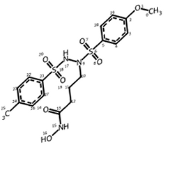 COc1ccc(S(=O)(=O)N(CCCC(=O)NO)NS(=O)(=O)c2ccc(C)cc2)cc1